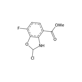 COC(=O)c1ccc(F)c2c1NC(Cl)O2